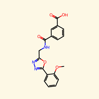 COc1ccccc1-c1nnc(CNC(=O)c2cccc(C(=O)O)c2)o1